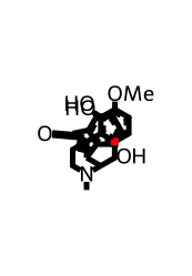 COc1ccc2c(c1O)C13CCN(C)C(C2)C12C=CC(=O)C3c1c(O)ccc(O)c12